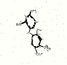 CNc1nc(N)ncc1Oc1cc(C(=O)O)c(OC)cc1C(C)C